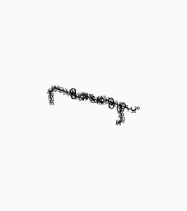 CC/C=C\CCCCOC(CCCC(=O)OCCC1CCN(CCSSCCN2CCC(CCOC(=O)CCCCCCC/C=C\C/C=C\CCCCC)CC2)CC1)OCCCC/C=C\CC